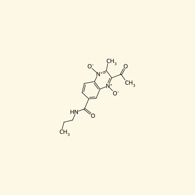 CCCNC(=O)c1ccc2c(c1)[n+]([O-])c(C(C)=O)c(C)[n+]2[O-]